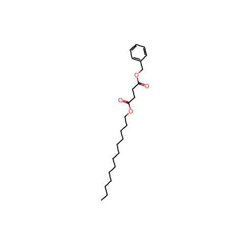 CCCCCCCCCCCCCOC(=O)CCC(=O)OCc1ccccc1